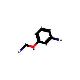 ICOc1cccc(I)c1